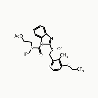 CC(=O)OCCN(C(=O)n1c([S@+]([O-])Cc2nccc(OCC(F)(F)F)c2C)nc2ccccc21)C(C)C